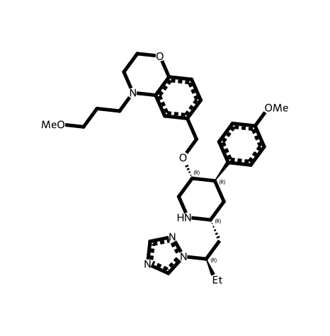 CC[C@H](C[C@H]1C[C@H](c2ccc(OC)cc2)[C@@H](OCc2ccc3c(c2)N(CCCOC)CCO3)CN1)n1cncn1